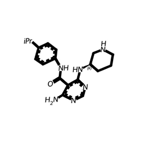 CC(C)c1ccc(NC(=O)c2c(N)ncnc2N[C@@H]2CCCNC2)cc1